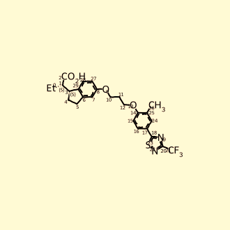 CC[C@H](C(=O)O)[C@@H]1CCc2cc(OCCCOc3ccc(-c4nc(C(F)(F)F)ns4)cc3C)ccc21